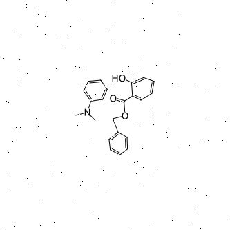 CN(C)c1ccccc1.O=C(OCc1ccccc1)c1ccccc1O